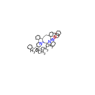 C=C1CC2C(CCc3ccc4c(oc5ccccc54)c3-c3n(-c4ccccc4)c4ccccc4[n+]31)c1ccccc1-c1cc(Cc3ccccc3)c([Si](C)(C)C)c[n+]12